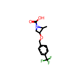 CC1C(OCc2ccc(C(F)(F)F)cc2)CN1C(=O)O